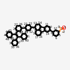 CP(C)(=O)c1cccc(-c2ccc3c(c2)-c2cccc4c(-c5ccc(-c6cccc(C(=C(c7ccccc7)c7ccccc7)c7ccccc7)c6)cc5)ccc-3c24)c1